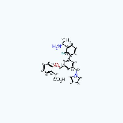 C[C@@H](N)c1cccc(-c2cc(COc3ccccc3CC(=O)O)cc(CN3CCCC3)c2)c1F